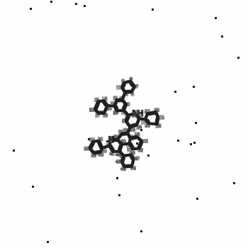 C1=C(c2cc(-c3ccccc3)cc(-c3ccccc3)c2)NC(c2ccccc2)C=C1c1cc2nc(-c3ccccc3)cc(-c3ccccc3)c2c2ccccc12